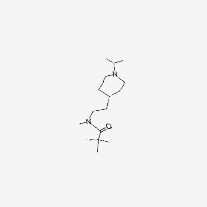 CC(C)N1CCC(CCN(C)C(=O)C(C)(C)C)CC1